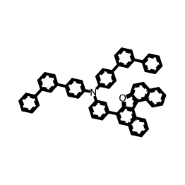 c1ccc(-c2cccc(-c3ccc(N(c4ccc(-c5cccc(-c6ccccc6)c5)cc4)c4cccc(-c5cc6ccccc6c6c5oc5ccc7ccccc7c56)c4)cc3)c2)cc1